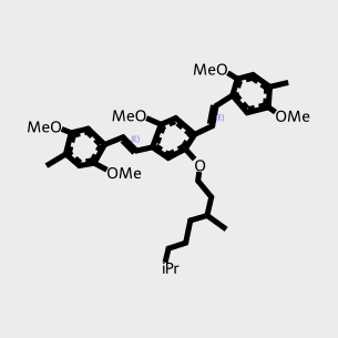 COc1cc(/C=C/c2cc(OCCC(C)CCCC(C)C)c(/C=C/c3cc(OC)c(C)cc3OC)cc2OC)c(OC)cc1C